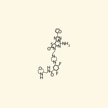 Nc1nc2c(sc(=O)n2CCN2CCN(c3cc(C(=O)NCC4COCCN4)c(F)cc3F)CC2)c2nc(-c3ccco3)nn12